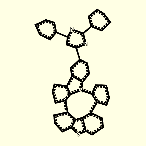 c1ccc(-c2cc(-c3ccc4c(c3)c3cccc5c6cccc7sc8cccc(c9ccccc9n4c53)c8c76)nc(-c3ccccc3)n2)cc1